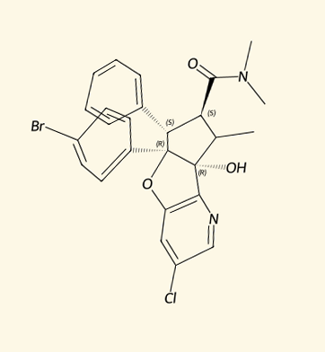 CC1[C@H](C(=O)N(C)C)[C@@H](c2ccccc2)[C@]2(c3ccc(Br)cc3)Oc3cc(Cl)cnc3[C@]12O